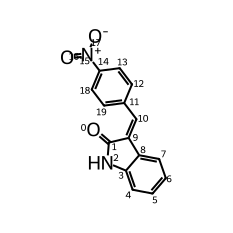 O=C1Nc2ccccc2/C1=C/c1ccc([N+](=O)[O-])cc1